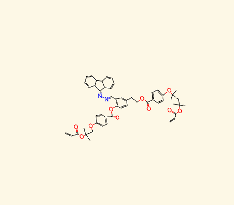 C=CC(=O)OC(C)(C)COc1ccc(C(=O)Oc2ccc(CCOC(=O)c3ccc(OC(C)(C)CC(C)(C)OC(=O)C=C)cc3)cc2/C=N/N=C2C3C=CC=CC3C3C=CC=CC23)cc1